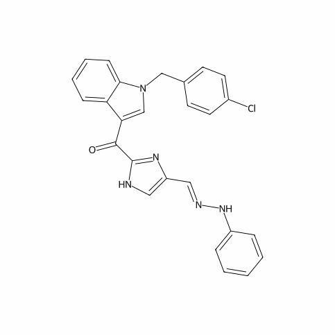 O=C(c1nc(/C=N/Nc2ccccc2)c[nH]1)c1cn(Cc2ccc(Cl)cc2)c2ccccc12